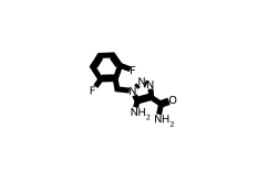 NC(=O)c1nnn(Cc2c(F)cccc2F)c1N